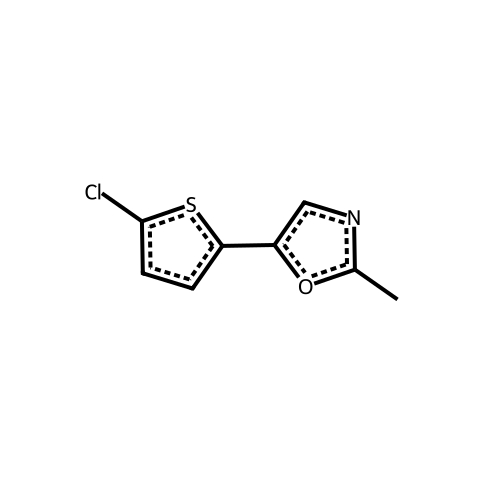 Cc1ncc(-c2ccc(Cl)s2)o1